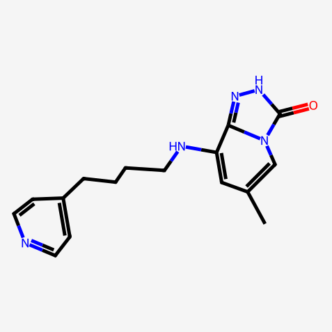 Cc1cc(NCCCCc2ccncc2)c2n[nH]c(=O)n2c1